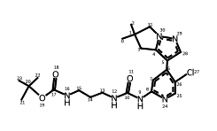 CC1(C)Cc2c(-c3cc(NC(=O)NCCCNC(=O)OC(C)(C)C)ncc3Cl)cnn2C1